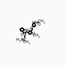 COc1ccc(C2Nc3ccccc3C(=O)N2CCCN(C)C)cc1COc1ccc(NC(C)=O)cc1